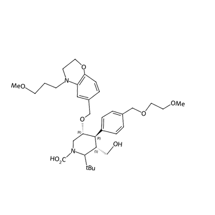 COCCCN1CCOc2ccc(CO[C@H]3CN(C(=O)O)C(C(C)(C)C)[C@@H](CO)[C@@H]3c3ccc(COCCOC)cc3)cc21